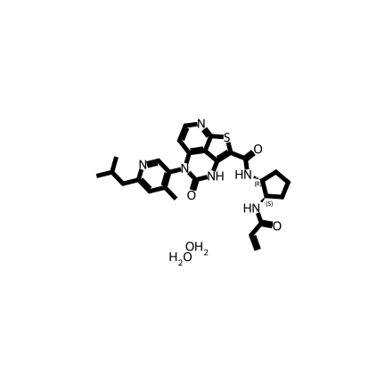 C=CC(=O)N[C@H]1CCC[C@H]1NC(=O)c1sc2nccc3c2c1NC(=O)N3c1cnc(CC(C)C)cc1C.O.O